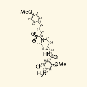 COc1ccc(CCCC(N2CCC(CNC(=O)c3cc(Cl)c(N)cc3OC)CC2)=S(=O)=O)cc1